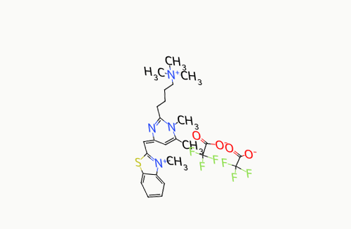 CC1=CC(=Cc2sc3ccccc3[n+]2C)N=C(CCCC[N+](C)(C)C)N1C.O=C([O-])C(F)(F)F.O=C([O-])C(F)(F)F